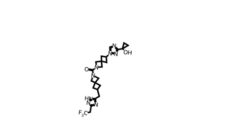 O=C(N1CC2(CC(Cc3nc(CC(F)(F)F)n[nH]3)C2)C1)N1CC2(CC(n3cnc(C4(O)CC4)n3)C2)C1